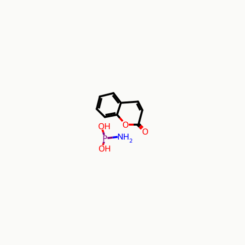 NP(O)O.O=c1ccc2ccccc2o1